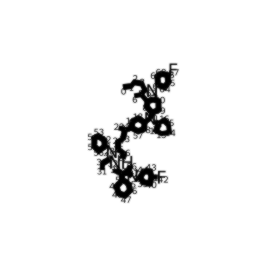 C=C/C=C\C1C(C)c2cc(N(C3=CCCC=C3)c3ccc(/C(C)=C/C=C(\C=C)N(/C(=C/C)N/C=c4\c(=C)n(-c5ccc(F)cc5)c5ccccc45)c4ccccc4)cc3)ccc2N1c1ccc(F)cc1